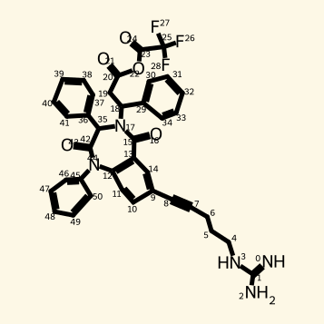 N=C(N)NCCCC#Cc1ccc2c(c1)C(=O)N(C(CC(=O)OC(=O)C(F)(F)F)c1ccccc1)C(c1ccccc1)C(=O)N2c1ccccc1